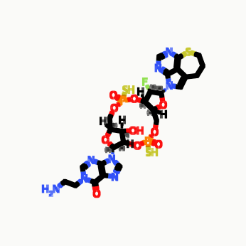 NCCn1cnc2c(ncn2[C@@H]2O[C@@H]3COP(=O)(S)O[C@H]4[C@@H](F)[C@H](n5cc6c7c(ncnc75)SCCC6)O[C@@H]4COP(=O)(S)O[C@@H]2[C@@H]3O)c1=O